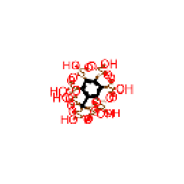 O=S(=O)(O)c1c(C(S(=O)(=O)O)(S(=O)(=O)O)S(=O)(=O)O)c(S(=O)(=O)O)c(S(=O)(=O)O)c(S(=O)(=O)O)c1S(=O)(=O)O